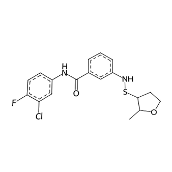 CC1OCCC1SNc1cccc(C(=O)Nc2ccc(F)c(Cl)c2)c1